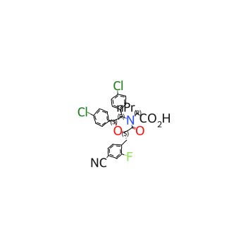 CCC[C@H](C(=O)O)N1C(=O)[C@H](Cc2ccc(C#N)cc2F)O[C@@H](c2ccc(Cl)cc2)[C@H]1c1ccc(Cl)cc1